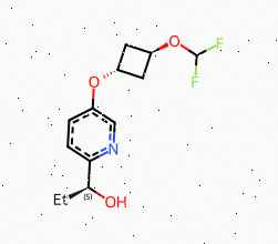 CC[C@H](O)c1ccc(O[C@H]2C[C@H](OC(F)F)C2)cn1